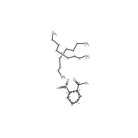 CCCC[N+](CCCC)(CCCC)CCCC.O=C([O-])c1ccccc1I(=O)=O